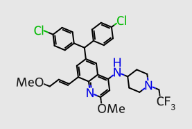 COC/C=C/c1cc(C(c2ccc(Cl)cc2)c2ccc(Cl)cc2)cc2c(NC3CCN(CC(F)(F)F)CC3)cc(OC)nc12